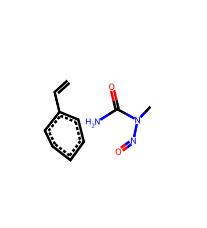 C=Cc1ccccc1.CN(N=O)C(N)=O